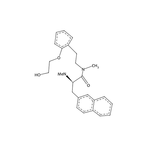 CN[C@H](Cc1ccc2ccccc2c1)C(=O)N(C)CCc1ccccc1OCCO